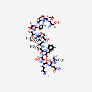 CC(C)C[C@H](NC(=O)[C@H](CCC(N)=O)NC(=O)[C@H](CCCCN)NC(=O)[C@H](CO)NC(=O)[C@H](Cc1ccccc1)NC(=O)[C@H](CC(=O)O)NC(=O)[C@H](CC(=O)O)NC(=O)[C@H](CC(C)C)NC(=O)[C@H](CC(=O)O)NC(=O)[C@H](C)NC(=O)[C@H](C)NC(=O)[C@@H]1CCCN1C(=O)[C@H](CC(C)C)NC(=O)[C@H](CC(C)C)NC(=O)[C@@H](N)[C@@H](C)O)C(=O)O